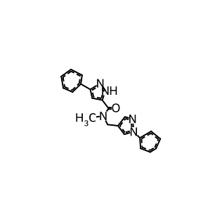 CN(Cc1cnn(-c2ccccc2)c1)C(=O)c1cc(-c2ccccc2)n[nH]1